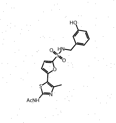 CC(=O)Nc1nc(C)c(-c2ccc(S(=O)(=O)NCc3cccc(O)c3)o2)s1